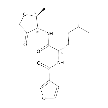 CC(C)CC[C@H](NC(=O)c1ccoc1)C(=O)N[C@@H]1C(=O)CO[C@H]1C